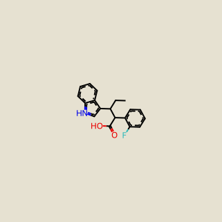 CCC(c1c[nH]c2ccccc12)C(C(=O)O)c1ccccc1F